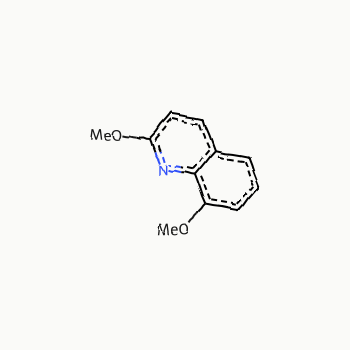 COc1ccc2cccc(OC)c2n1